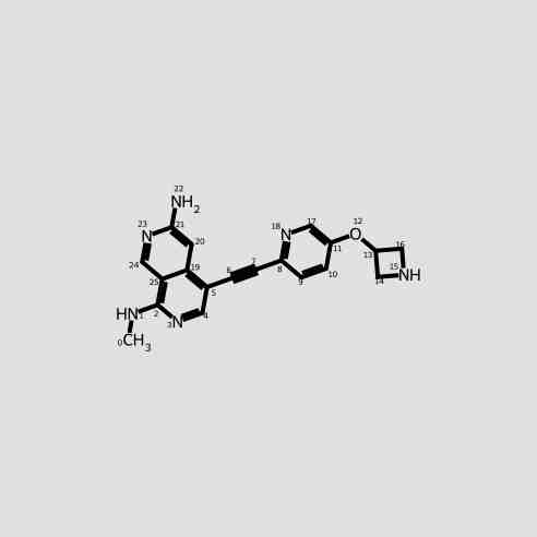 CNc1ncc(C#Cc2ccc(OC3CNC3)cn2)c2cc(N)ncc12